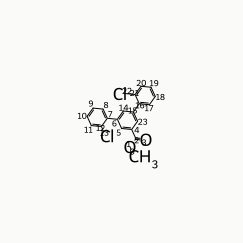 COC(=O)c1cc(-c2ccccc2Cl)cc(-c2ccccc2Cl)c1